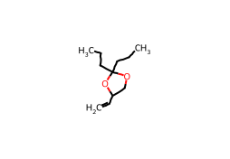 C=CC1COC(CCC)(CCC)O1